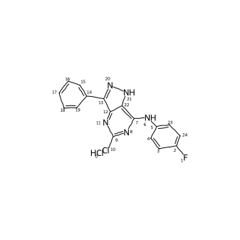 Cl.Fc1ccc(Nc2nc(Cl)nc3c(-c4ccccc4)n[nH]c23)cc1